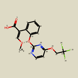 CO/C=C(/C(=O)O)c1ccccc1Oc1nccc(OCC(F)(F)F)n1